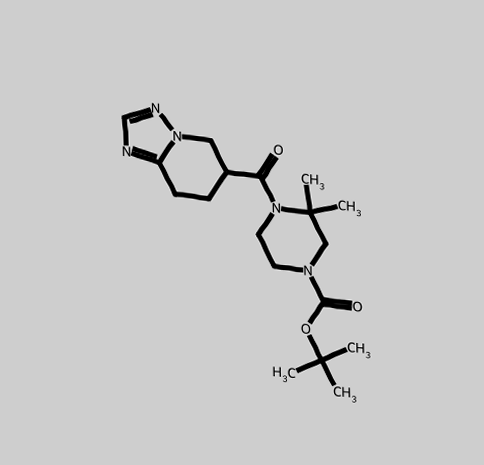 CC(C)(C)OC(=O)N1CCN(C(=O)C2CCc3ncnn3C2)C(C)(C)C1